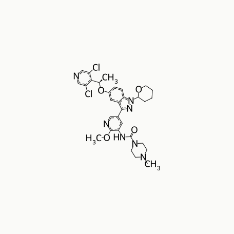 COc1ncc(-c2nn(C3CCCCO3)c3ccc(O[C@H](C)c4c(Cl)cncc4Cl)cc23)cc1NC(=O)N1CCN(C)CC1